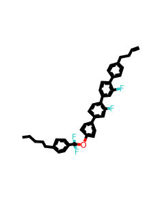 C=CCCc1ccc(-c2ccc(-c3ccc(-c4ccc(OC(F)(F)c5ccc(CCCCC)cc5)cc4)cc3F)cc2F)cc1